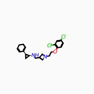 Clc1ccc(OCCN2CC(CN[C@@H]3C[C@H]3C3=CCCC=C3)C2)c(Cl)c1